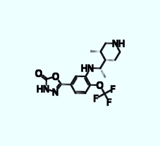 C[C@@H]1CNCC[C@@H]1[C@H](C)Nc1cc(-c2n[nH]c(=O)o2)ccc1OC(F)(F)F